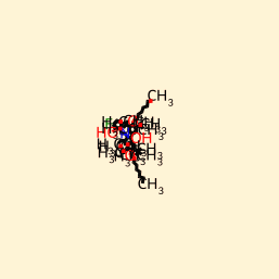 CCCCCCCCOc1c(C(C)(C)C)cc(C(O)(c2cc(C(C)(C)C)c(OCCCCCCCC)c(C(C)(C)C)c2)C(N=Cc2cccc(F)c2O)C(C)CC)cc1C(C)(C)C